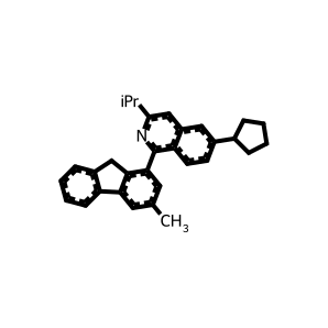 Cc1cc2c(c(-c3nc(C(C)C)cc4cc(C5CCCC5)ccc34)c1)Cc1ccccc1-2